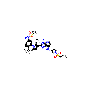 CCS(=O)(=O)N1CC[C@H](Nc2ccnc3[nH]c(-c4cc(C)n(-c5cc(NS(C)(=O)=O)ccc5C)c4C)nc23)C1